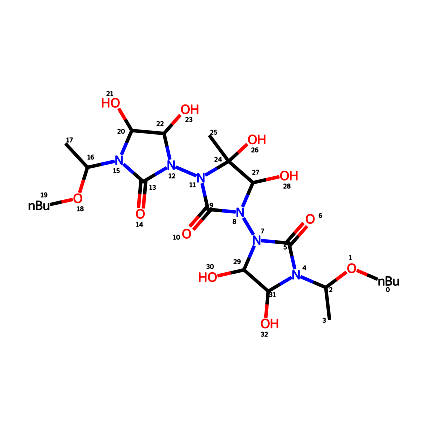 CCCCOC(C)N1C(=O)N(N2C(=O)N(N3C(=O)N(C(C)OCCCC)C(O)C3O)C(C)(O)C2O)C(O)C1O